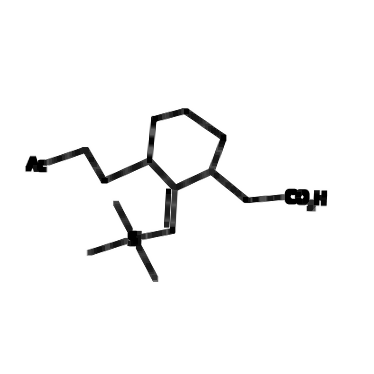 CC(=O)CCC1CCCC(CC(=O)O)/C1=C/[Si](C)(C)C